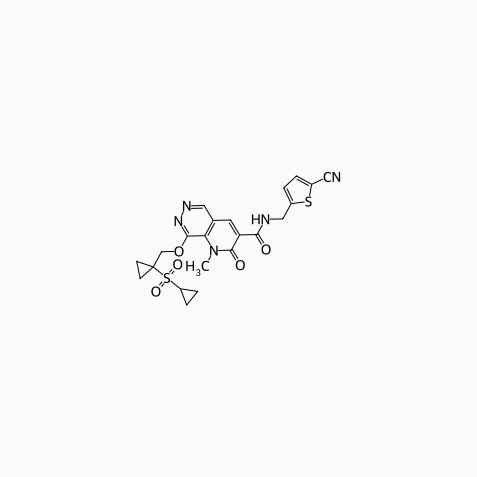 Cn1c(=O)c(C(=O)NCc2ccc(C#N)s2)cc2cnnc(OCC3(S(=O)(=O)C4CC4)CC3)c21